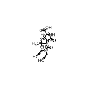 C#CCN(CC#C)C(=O)[C@@H]1N2C(=O)N[C@H](C(=O)O)[C@H]2SC1(C)C